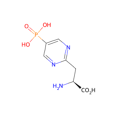 N[C@@H](Cc1ncc(P(=O)(O)O)cn1)C(=O)O